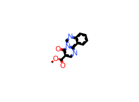 COC(=O)c1cnc2c3ccccc3ncn2c1=O